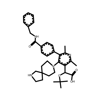 Cc1nc(C)c(C(OC(C)(C)C)C(=O)O)c(N2CCC3(CCNC3)CC2)c1-c1ccc(C(=O)NCc2ccccc2)cc1